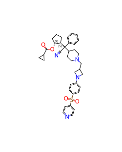 N#CC(c1ccccc1)(C1CCN(CC2CN(c3ccc(S(=O)(=O)c4ccncc4)cc3)C2)CC1)[C@@H]1CCC[C@H]1OC(=O)C1CC1